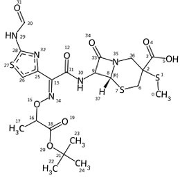 CSC1(C(=O)O)CS[C@@H]2C(NC(=O)C(=NOC(C)C(=O)OC(C)(C)C)c3csc(NC=O)n3)C(=O)N2C1